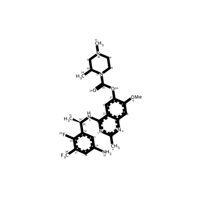 COc1cc2nc(C)nc(N[C@H](C)c3cc(N)cc(C(F)(F)F)c3F)c2cc1OC(=O)N1CCN(C)CC1C